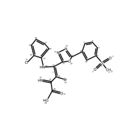 CS(=O)(=O)c1cccc(-c2nnc(/C(Nc3ccccc3Cl)=C(\Br)C(=N)C(=O)O)o2)c1